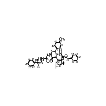 COc1ccc(CCN(CC(=O)NCC(C)(C)c2ccccc2)C(=O)[C@@H](CNC(=O)OCc2ccccc2)c2cnc[nH]2)cc1